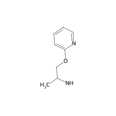 CC([NH])COc1ccccn1